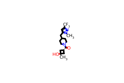 Cn1nc(C(F)(F)F)cc1CC1CCN(C(=O)[C@H]2C[C@@](C)(O)C2)CC1